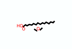 CCCCCCCCCCCCCCCC(=O)O.CCOCC